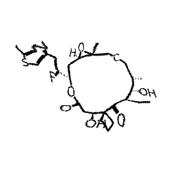 CC[C@H]1C(=O)C2(CCC2)[C@@H](O)CC(=O)O[C@H](C(F)=Cc2csc(C)n2)C[C@H]2O[C@]2(C)CCC[C@H](C)[C@@H]1O